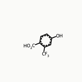 O=C(O)c1ccc(O)cc1C(F)(F)F